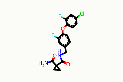 NC(=O)C1(C(=O)NCc2ccc(Oc3ccc(Cl)cc3F)c(F)c2)CC1